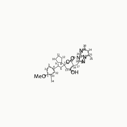 COc1ccc(CCC2(C3CCCC3)CC(O)=C(Cc3nc4nc(C)cc(C)n4n3)C(=O)O2)cc1C